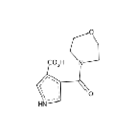 O=C(O)c1c[nH]cc1C(=O)N1CCOCC1